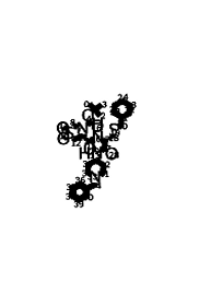 CC(C)(C)OC(=O)N1CS(=O)(=O)C[C@H]1C(=O)N[C@@H](CSCC1CCCCC1)C(=O)NC1CCN(Cc2ccccc2)CC1